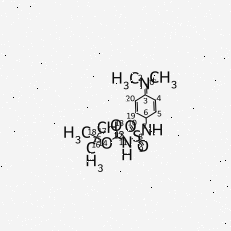 C[N+](C)=C1C=CC(NS(=O)(=O)NC(=O)OC(C)(C)C)C=C1